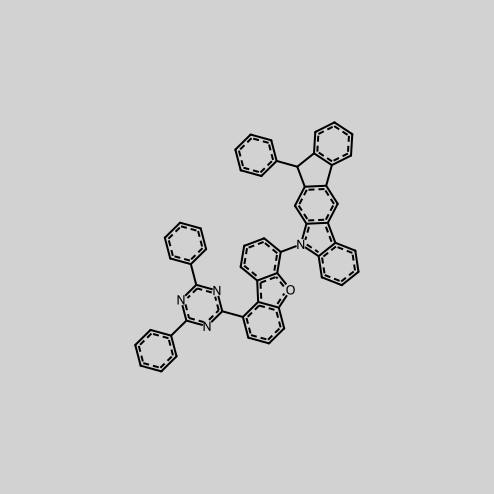 c1ccc(-c2nc(-c3ccccc3)nc(-c3cccc4oc5c(-n6c7ccccc7c7cc8c(cc76)C(c6ccccc6)c6ccccc6-8)cccc5c34)n2)cc1